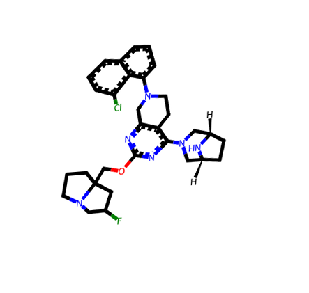 FC1CN2CCCC2(COc2nc3c(c(N4C[C@H]5CC[C@@H](C4)N5)n2)CCN(c2cccc4cccc(Cl)c24)C3)C1